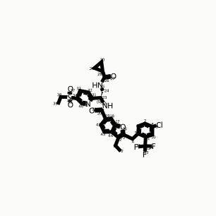 CCc1c(Cc2ccc(Cl)cc2C(F)(F)F)oc2cc(C(=O)N[C@@H](CNC(=O)C3CC3)c3ccc(S(=O)(=O)CC)cn3)ccc12